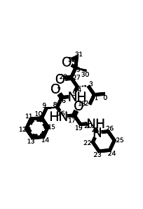 CC(C)C[C@H](NC(=O)[C@H](Cc1ccccc1)NC(=O)CNN1CCCCC1)C(=O)[C@@]1(C)CO1